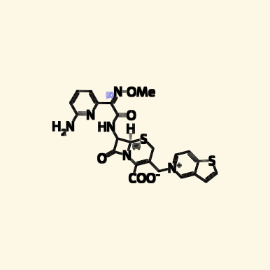 CO/N=C(\C(=O)NC1C(=O)N2C(C(=O)[O-])=C(C[n+]3ccc4sccc4c3)CS[C@H]12)c1cccc(N)n1